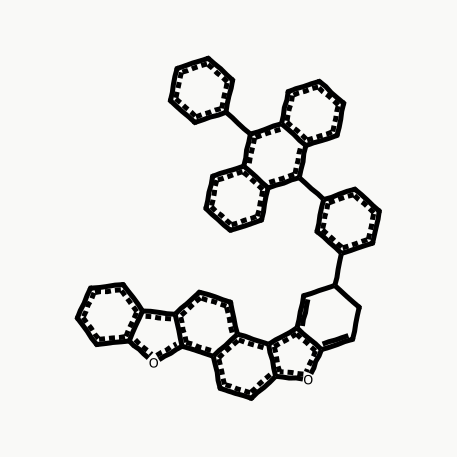 C1=c2oc3ccc4c(ccc5c6ccccc6oc54)c3c2=CC(c2cccc(-c3c4ccccc4c(-c4ccccc4)c4ccccc34)c2)C1